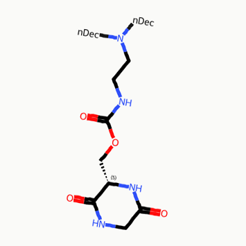 CCCCCCCCCCN(CCCCCCCCCC)CCNC(=O)OC[C@@H]1NC(=O)CNC1=O